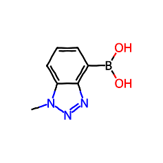 Cn1nnc2c(B(O)O)cccc21